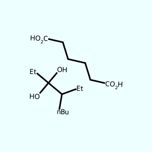 CCCCC(CC)C(O)(O)CC.O=C(O)CCCCC(=O)O